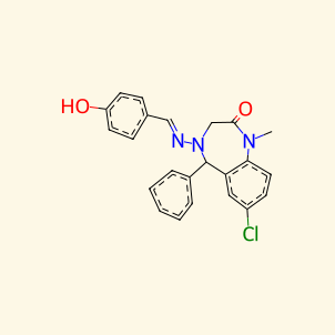 CN1C(=O)CN(N=Cc2ccc(O)cc2)C(c2ccccc2)c2cc(Cl)ccc21